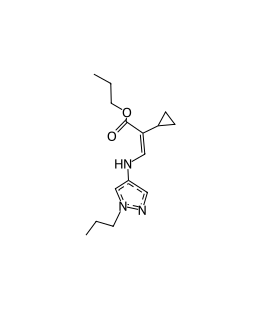 CCCOC(=O)C(=CNc1cnn(CCC)c1)C1CC1